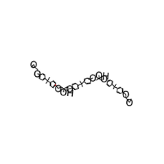 CC(C)(c1ccc(OCC(O)COc2ccc(C(C)(C)c3ccc(OCC4CO4)cc3)cc2)cc1)c1ccc(OCC(O)COc2ccc(C(C)(C)c3ccc(OCC4CO4)cc3)cc2)cc1